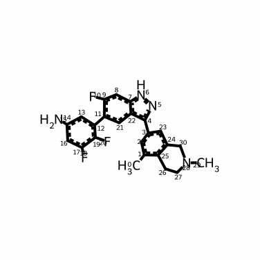 Cc1cc(-c2n[nH]c3cc(F)c(-c4cc(N)cc(F)c4F)cc23)cc2c1CCN(C)C2